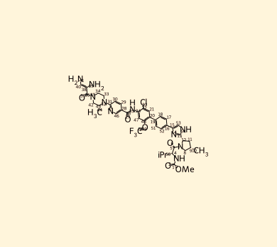 COC(=O)N[C@H](C(=O)N1C[C@@H](C)C[C@H]1c1nc(-c2ccc(-c3cc(Cl)c(NC(=O)c4ccc(N5CCN(C(=O)/C(N)=C/N)C[C@H]5C)nc4)cc3OC(F)(F)F)cc2)c[nH]1)C(C)C